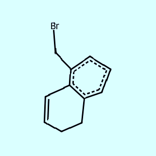 BrCc1cccc2c1C=CCC2